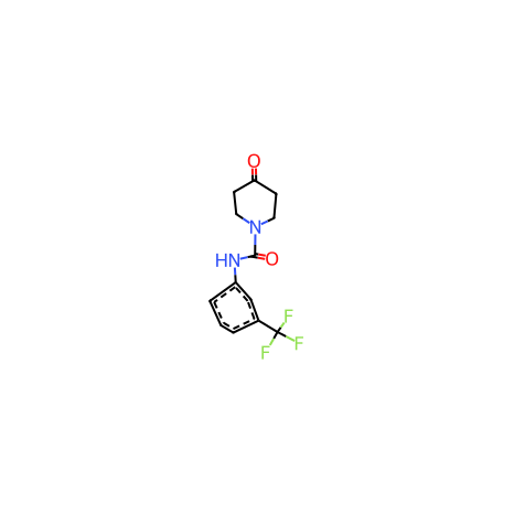 O=C1CCN(C(=O)Nc2cccc(C(F)(F)F)c2)CC1